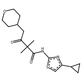 CC(C)(C(=O)CC1CCOCC1)C(=O)Nc1nc(C2CC2)cs1